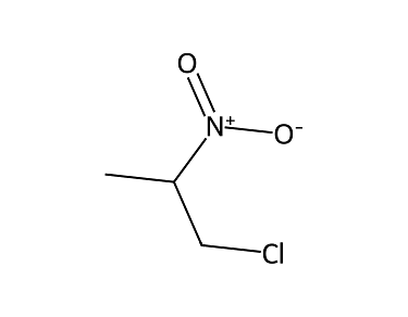 CC(CCl)[N+](=O)[O-]